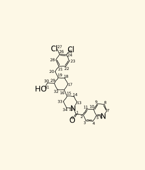 O=C(c1ccc2ncccc2c1)N1CCC(C2CCC(Cc3ccc(Cl)c(Cl)c3)C(CO)C2)CC1